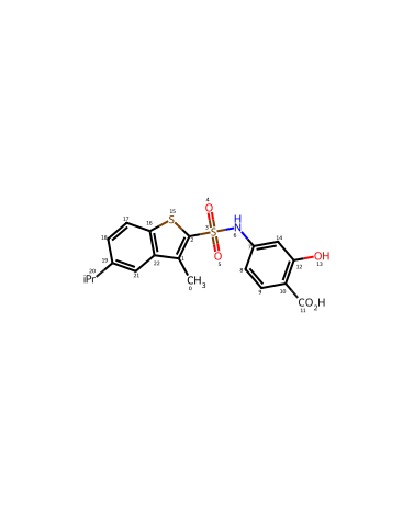 Cc1c(S(=O)(=O)Nc2ccc(C(=O)O)c(O)c2)sc2ccc(C(C)C)cc12